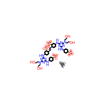 O=S(=O)([O-])c1ccc(Nc2nc(Nc3ccc(/C=C/c4ccc(Nc5nc(Nc6ccc(S(=O)(=O)[O-])cc6)nc(N(CCO)CCO)n5)cc4S(=O)(=O)[O-])c(S(=O)(=O)[O-])c3)nc(N(CCO)CCO)n2)cc1.[K+].[K+].[Na+].[Na+]